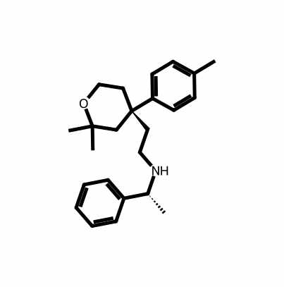 Cc1ccc([C@@]2(CCN[C@H](C)c3ccccc3)CCOC(C)(C)C2)cc1